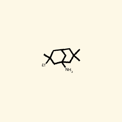 CCC1(C)CC2CC(C)(C)CC(N)(C2)C1